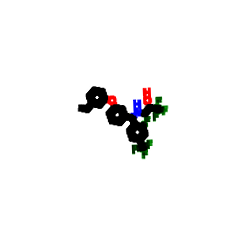 CCc1cccc(Oc2cccc(C(NC[C@@H](O)C(F)(F)F)c3ccc(C(F)(F)F)cc3F)c2)c1